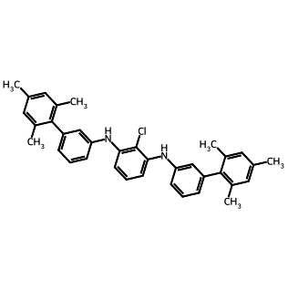 Cc1cc(C)c(-c2cccc(Nc3cccc(Nc4cccc(-c5c(C)cc(C)cc5C)c4)c3Cl)c2)c(C)c1